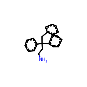 NCCC(Cc1ccccc1)(c1ccccc1)c1ccccc1